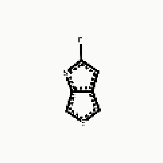 Fc1cc2cscc2s1